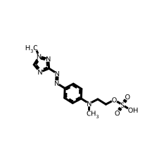 CN(CCOS(=O)(=O)O)c1ccc(N=Nc2ncn(C)n2)cc1